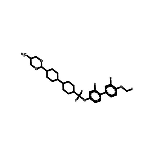 CC1COC(C2CCC(C3CCC(C(F)(F)Oc4ccc(-c5ccc(OCF)c(F)c5)c(F)c4)CC3)CC2)OC1